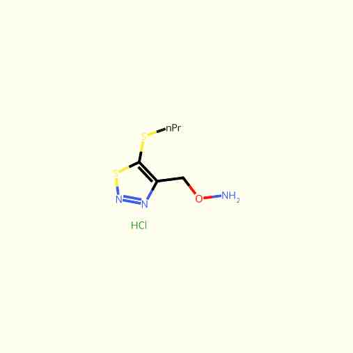 CCCSc1snnc1CON.Cl